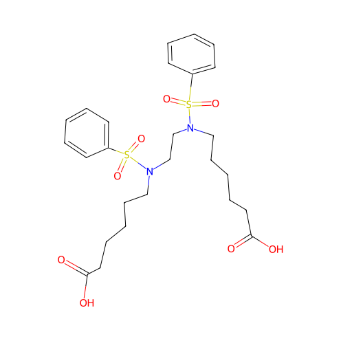 O=C(O)CCCCCN(CCN(CCCCCC(=O)O)S(=O)(=O)c1ccccc1)S(=O)(=O)c1ccccc1